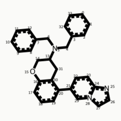 c1ccc(CN(Cc2ccccc2)C2COc3cccc(-c4ccc5nccn5c4)c3C2)cc1